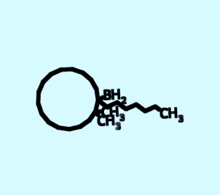 BC1(CCCCCCC)CCCCCCCCCCCCCCCC1(C)C